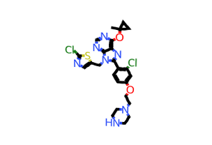 CC1(Oc2ncnc3c2nc(-c2ccc(OCCN4CCNCC4)cc2Cl)n3Cc2cnc(Cl)s2)CC1